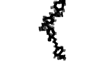 Cl.NC1CCN(CCCCn2ccc(Nc3ccc(CNC4CCNCC4)cn3)nc2=O)CC1